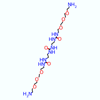 NCCOCCOCCOCCNC(=O)NCCNC(=O)NCCNC(=O)NCCOCCOCCOCCN